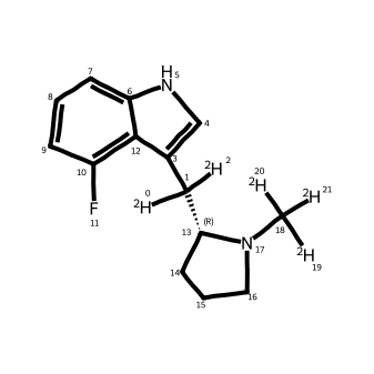 [2H]C([2H])(c1c[nH]c2cccc(F)c12)[C@H]1CCCN1C([2H])([2H])[2H]